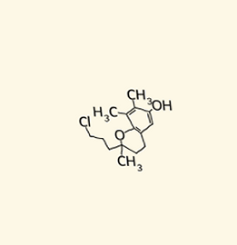 Cc1c(O)cc2c(c1C)OC(C)(CCCCl)CC2